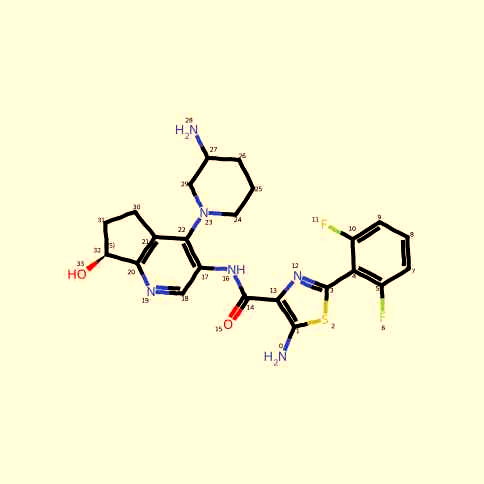 Nc1sc(-c2c(F)cccc2F)nc1C(=O)Nc1cnc2c(c1N1CCCC(N)C1)CC[C@@H]2O